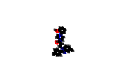 COc1ccccc1N1CCN(C(=O)CCn2c(-c3ccc(C)cc3)nc3cc(C)ccc32)CC1